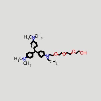 CCN(CCOCCOCCOCCO)c1ccc(C(c2ccc(N(C)C)cc2)c2ccc(N(C)C)cc2)cc1